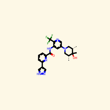 C[C@@H]1CN(c2cnc(C(F)(F)F)c(NC(=O)c3cccc(-c4cn[nH]c4)n3)c2)C[C@H](C)C1(C)O